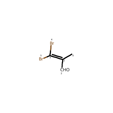 CC(C=O)=C(Br)Br